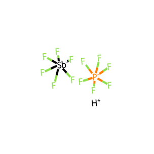 F[P-](F)(F)(F)(F)F.[F][Sb-]([F])([F])([F])([F])[F].[H+]